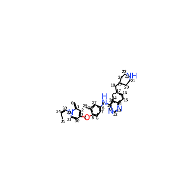 C=C1C=C(Oc2ccc(Nc3ncnc4ccc(CC5CCNCC5)cc34)cc2C)C=CN1/C=C\C